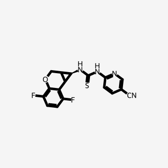 N#Cc1ccc(NC(=S)N[C@@H]2C3COc4c(F)ccc(F)c4C32)nc1